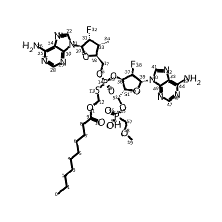 CCCCCCCCCC(=O)OCSP(=O)(OC[C@H]1O[C@@H](n2cnc3c(N)ncnc32)[C@H](F)[C@@H]1C)O[C@H]1[C@@H](F)[C@H](n2cnc3c(N)ncnc32)O[C@@H]1COP(=O)(O)COC